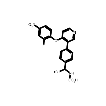 CC(C)(C)C(NC(=O)O)c1ccc(-c2cnccc2Oc2ccc([N+](=O)[O-])cc2F)cc1